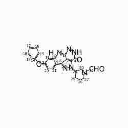 Nc1n[nH]c(=O)c2c1c(-c1ccc(Oc3ccccc3)cc1)nn2C1CCCN(C=O)C1